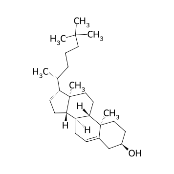 C[C@H](CCCC(C)(C)C)[C@H]1CC[C@H]2[C@@H]3CC=C4C[C@H](O)CC[C@]4(C)[C@H]3CC[C@]12C